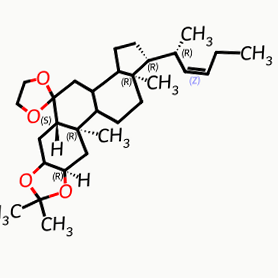 CC/C=C\[C@@H](C)[C@H]1CCC2C3CC4(OCCO4)[C@H]4CC5OC(C)(C)O[C@@H]5C[C@]4(C)C3CC[C@@]21C